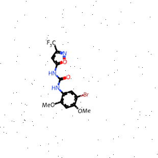 COc1cc(OC)c(NC(=O)Nc2cc(C(F)(F)F)no2)cc1Br